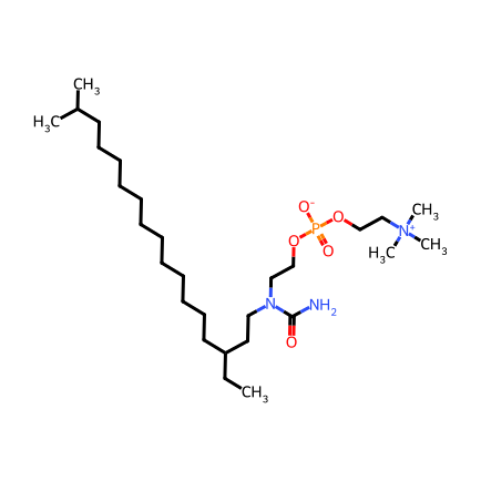 CCC(CCCCCCCCCCCCC(C)C)CCN(CCOP(=O)([O-])OCC[N+](C)(C)C)C(N)=O